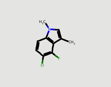 Cc1cn(C)c2ccc(Cl)c(F)c12